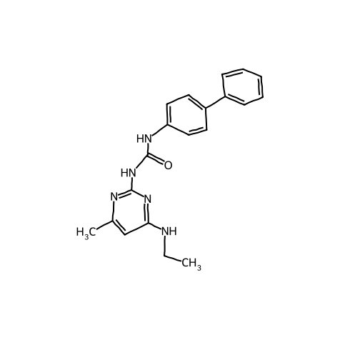 CCNc1cc(C)nc(NC(=O)Nc2ccc(-c3ccccc3)cc2)n1